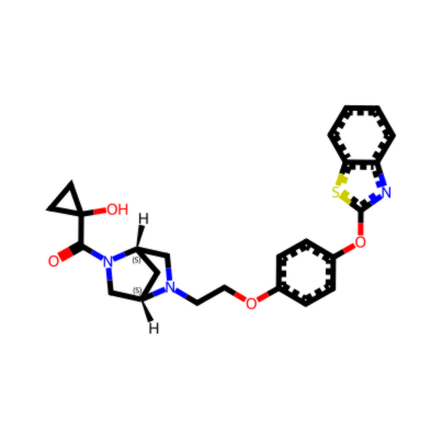 O=C(N1C[C@@H]2C[C@H]1CN2CCOc1ccc(Oc2nc3ccccc3s2)cc1)C1(O)CC1